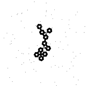 c1ccc(-c2ccc3c4cc(-c5ccc6c(c5)c5ccccc5n6-c5ccc6c(c5)C(c5ccccc5)(c5ccccc5)c5ccccc5-6)ccc4n(-c4ccccc4)c3c2)cc1